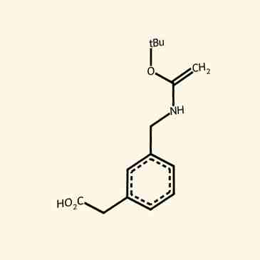 C=C(NCc1cccc(CC(=O)O)c1)OC(C)(C)C